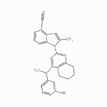 Cc1cc2c(C#N)cccc2n1-c1nc2c(c(N(C)c3cccc(Br)c3)n1)CCCC2